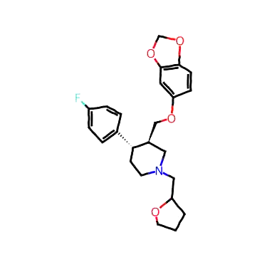 Fc1ccc([C@H]2CCN(CC3CCCO3)C[C@@H]2COc2ccc3c(c2)OCO3)cc1